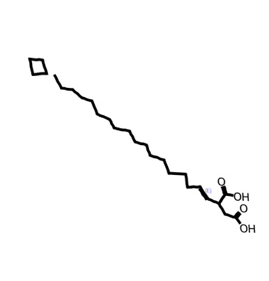 C1CCC1.CCCCCCCCCCCCCCCC/C=C/C(CC(=O)O)C(=O)O